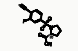 [C]#Cc1ccc(S(=O)(=O)N2CCC[C@@H]2C(=O)O)cc1F